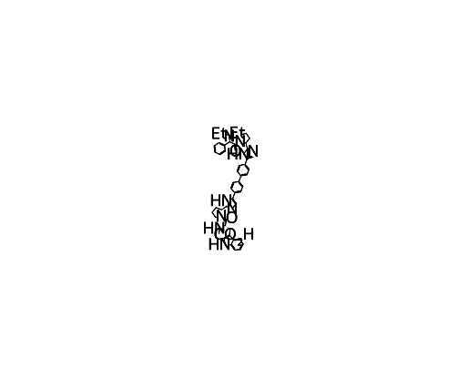 CCN(CC)[C@@H](C(=O)N1CCC[C@H]1c1ncc(-c2ccc(-c3ccc(-c4cnc([C@@H]5CCCN5C(=O)[C@H](Cc5c[nH]c6ccccc56)NC(=O)O)[nH]4)cc3)cc2)[nH]1)c1ccccc1